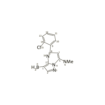 Bc1cnn2c(NC)cc(-c3ccccc3Cl)nc12